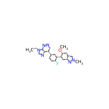 CCn1cnc2c(-c3ccc(F)c(-c4cc5nn(C)cc5cc4OC)c3)cnnc21